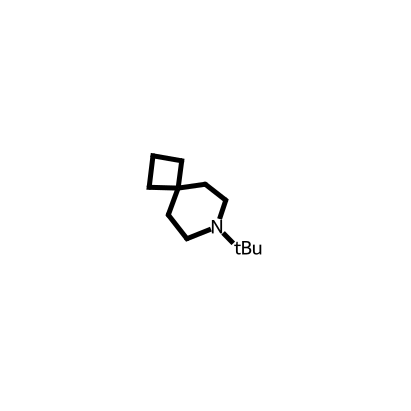 CC(C)(C)N1CCC2(CCC2)CC1